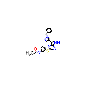 C=CC(=O)Nc1cccc(Sc2cnc3[nH]cc(-c4cnn(Cc5ccccc5)c4)c3n2)c1